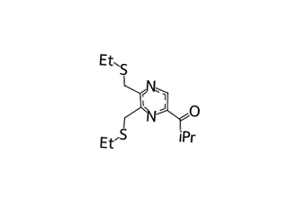 CCSCc1ncc(C(=O)C(C)C)nc1CSCC